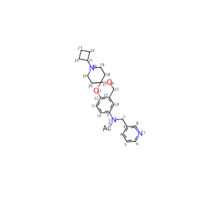 CC(=O)N(Cc1cccnc1)c1ccc2c(c1)COC1(CCN(C3CCC3)CC1)O2